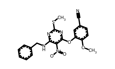 COc1ccc(C#N)cc1Oc1nc(SC)nc(NCc2ccccc2)c1[N+](=O)[O-]